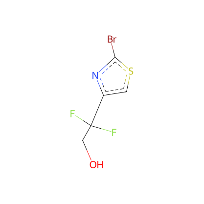 OCC(F)(F)c1csc(Br)n1